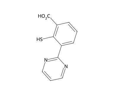 O=C(O)c1cccc(-c2ncccn2)c1S